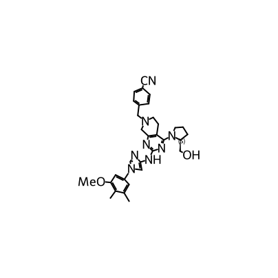 COc1cc(-n2cnc(Nc3nc4c(c(N5CCC[C@H]5CO)n3)CCN(Cc3ccc(C#N)cc3)C4)c2)cc(C)c1C